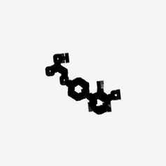 O=C(O)COC1CCN(c2ncnc(Cl)c2F)CC1